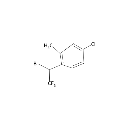 Cc1cc(Cl)ccc1C(Br)C(F)(F)F